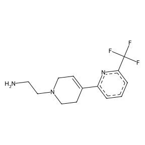 NCCN1CC=C(c2cccc(C(F)(F)F)n2)CC1